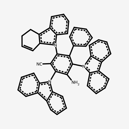 N#Cc1c(-n2c3c(c4ccccc42)CCC=C3)c(-c2ccccc2)c(-n2c3ccccc3c3ccccc32)c(N)c1-n1c2ccccc2c2ccccc21